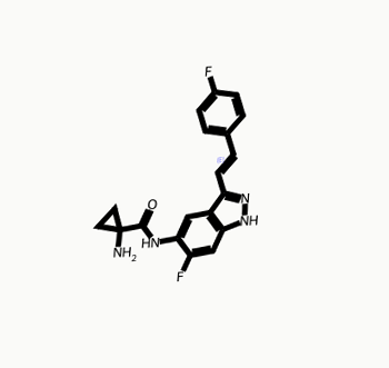 NC1(C(=O)Nc2cc3c(/C=C/c4ccc(F)cc4)n[nH]c3cc2F)CC1